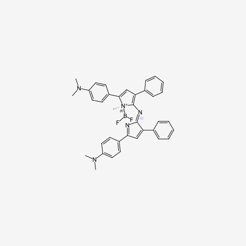 CN(C)c1ccc(C2=CC(c3ccccc3)=C(/N=C3\N=C(c4ccc(N(C)C)cc4)C=C3c3ccccc3)[N@@+]2(C)B(F)F)cc1